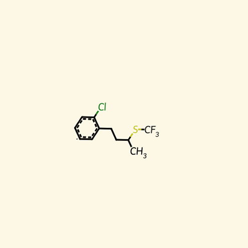 CC(CCc1c[c]ccc1Cl)SC(F)(F)F